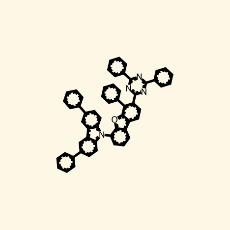 c1ccc(-c2ccc3c(c2)c2cc(-c4ccccc4)ccc2n3-c2cccc3c2oc2c(-c4ccccc4)c(-c4nc(-c5ccccc5)nc(-c5ccccc5)n4)ccc23)cc1